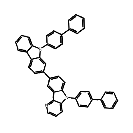 c1ccc(-c2ccc(-n3c4ccccc4c4ccc(-c5ccc6c(c5)c5ncccc5n6-c5ccc(-c6ccccc6)cc5)cc43)cc2)cc1